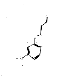 CCCCSc1cccc(N)c1